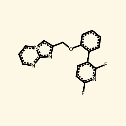 Fc1ccc(-c2ccccc2OCc2cn3cccnc3n2)c(F)n1